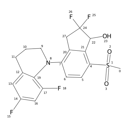 CS(=O)(=O)c1ccc(N2CCCc3cc(F)cc(F)c32)c2c1C(O)C(F)(F)C2